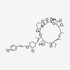 CCC1/C=C(\C)CC(C)CC(OC)C2OC(O)(C(=O)C(=O)N3CCCCC3C(=O)OC(C(C)=CC3CCC(OCC=Cc4ccc(OC)cc4)C(OC)C3)C(C)C(O)CC1=O)C(C)CC2OC